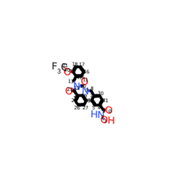 O=C(NO)c1ccc(Cn2c(=O)n(Cc3ccccc3OC(F)(F)F)c(=O)c3ccccc32)cc1